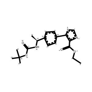 CCOC(=O)c1ncsc1-c1ccc([C@H](C)NC(=O)OC(C)(C)C)cc1